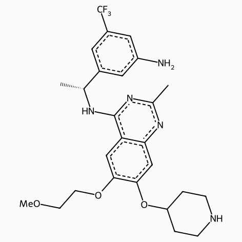 COCCOc1cc2c(N[C@H](C)c3cc(N)cc(C(F)(F)F)c3)nc(C)nc2cc1OC1CCNCC1